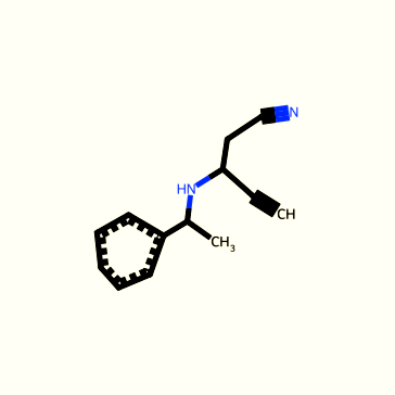 C#CC(CC#N)NC(C)c1ccccc1